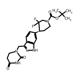 CC(C)(C)OC(=O)N1CC[C@@H](c2ccc3c(CN4CCC(=O)NC4=O)n[nH]c3c2)C(F)(F)C1